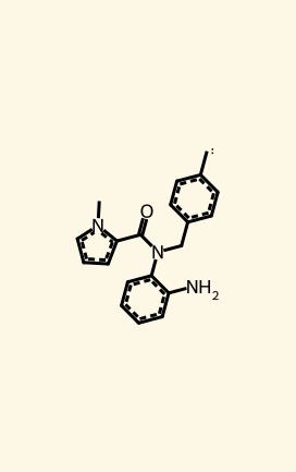 [CH]c1ccc(CN(C(=O)c2cccn2C)c2ccccc2N)cc1